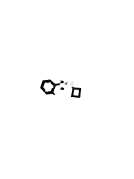 O=S(=O)(NC1CC(O)C1)c1ccccc1O